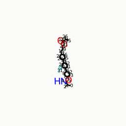 C=C(C)C(=N)Oc1ccc(-c2ccc(-c3ccc(CCCOC(=O)C(=C)C)cc3)cc2F)cc1